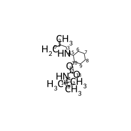 C=C(C)CNC1CCCCC1OC(=O)NC(C)(C)C